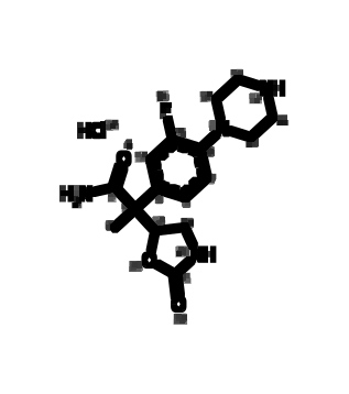 CC(C(N)=O)(c1ccc(N2CCNCC2)c(F)c1)C1CNC(=O)O1.Cl